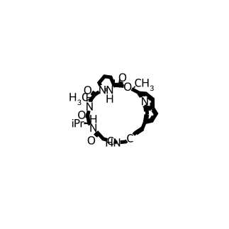 CC(C)[C@@H]1NC(=O)CCNCC/C=C/c2ccc3ccc(nc3c2)[C@@H](C)OC(=O)[C@@H]2CCCN(N2)C(=O)[C@H](C)NC1=O